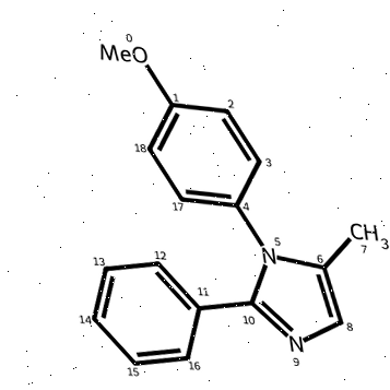 COc1ccc(-n2c(C)cnc2-c2ccccc2)cc1